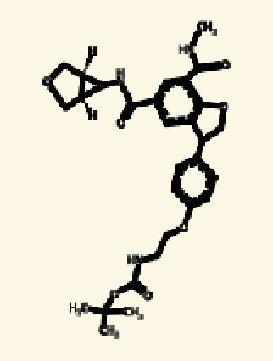 CNC(=O)c1cc(C(=O)NC2[C@H]3COC[C@@H]23)cc2c1OCC2c1ccc(OCCNC(=O)OC(C)(C)C)cc1